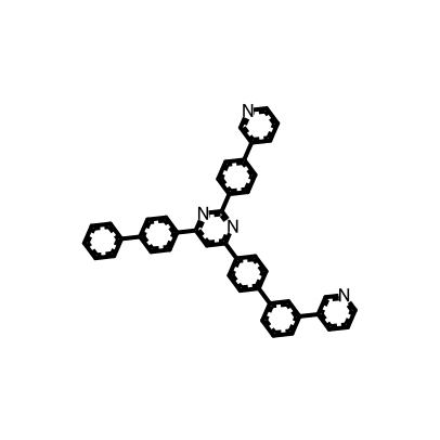 c1ccc(-c2ccc(-c3cc(-c4ccc(-c5cccc(-c6cccnc6)c5)cc4)nc(-c4ccc(-c5cccnc5)cc4)n3)cc2)cc1